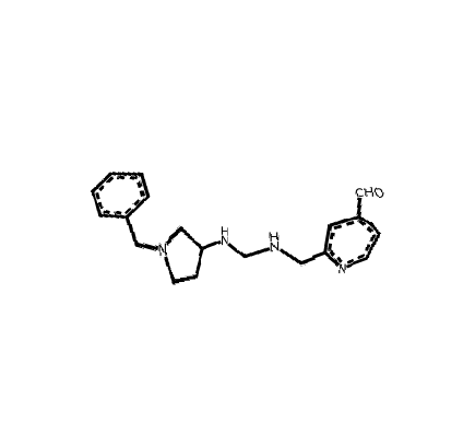 O=Cc1ccnc(CNCNC2CCN(Cc3ccccc3)C2)c1